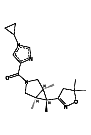 CC1(C)CC([C@]2(C)[C@@]3(C)CN(C(=O)c4cn(C5CC5)cn4)C[C@]32C)=NO1